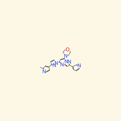 Cc1cc(-c2ccn(-c3cc(N4CCOCC4)n4nc(-c5cccnc5)cc4n3)n2)ccn1